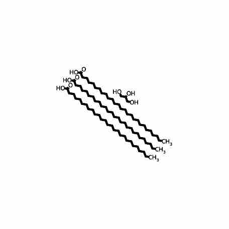 CCCCCCCCCCCCCCCCCCCCCCCCCCC(=O)O.CCCCCCCCCCCCCCCCCCCCCCCCCCC(=O)O.CCCCCCCCCCCCCCCCCCCCCCCCCCC(=O)O.OCC(O)CO